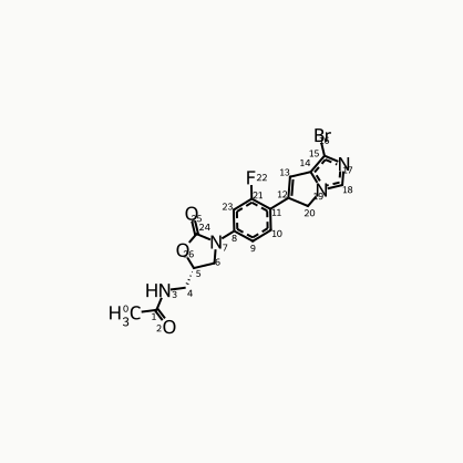 CC(=O)NC[C@H]1CN(c2ccc(C3=Cc4c(Br)ncn4C3)c(F)c2)C(=O)O1